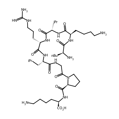 CCCC[C@H](N)C(=O)N[C@H](CCCCN)C(=O)N[C@H](C(=O)N[C@@H](CCCNC(=N)N)C(=O)N[C@@H](CC(C)C)C(=O)NCC(=O)N1CCC[C@H]1C(=O)N[C@H](CCCCN)C(=O)O)C(C)C